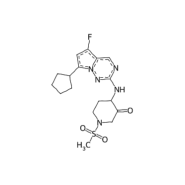 CS(=O)(=O)N1CCC(Nc2ncc3c(F)cc(C4CCCC4)n3n2)C(=O)C1